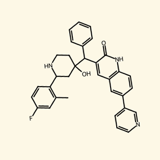 Cc1cc(F)ccc1C1CC(O)(C(c2ccccc2)c2cc3cc(-c4cccnc4)ccc3[nH]c2=O)CCN1